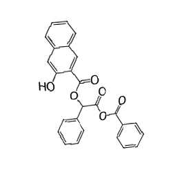 O=C(OC(=O)C(OC(=O)c1cc2ccccc2cc1O)c1ccccc1)c1ccccc1